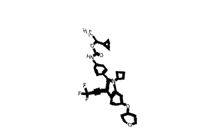 CC(OC(=O)Nc1ccc(-c2c(C#CC(F)(F)F)c3ccc(OC4CCOCC4)cc3n2C2CCC2)cc1)C1CC1